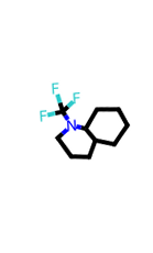 FC(F)(F)N1CCCC2CCCCC21